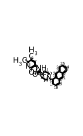 COc1nc(C)c(C)cc1NC(=O)N1CCN(c2cccc3cc4ccccc4cc23)CC1